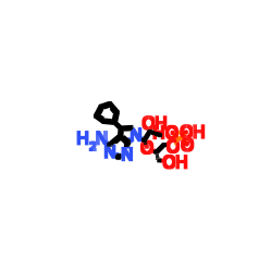 CC(O)[C@@H](O[C@@H](CO)COP(=O)(O)O)n1cc(-c2ccccc2)c2c(N)ncnc21